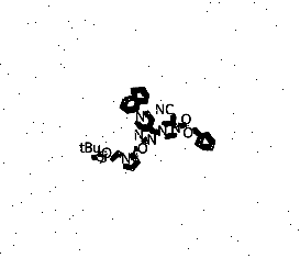 CC(C)(C)[Si](C)(C)OCCN1CCC[C@@H]1COc1nc2c(c(N3CCN(C(=O)OCc4ccccc4)C(CC#N)C3)n1)CCN(c1cccc3ccccc13)C2